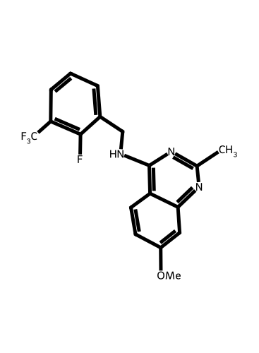 COc1ccc2c(NCc3cccc(C(F)(F)F)c3F)nc(C)nc2c1